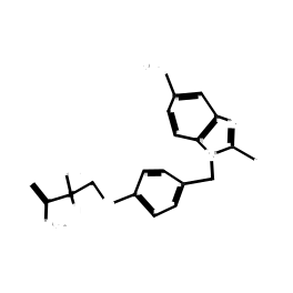 COC(=O)C(C)(C)COc1ccc(Cn2c(S)nc3cc(OC)ccc32)cc1